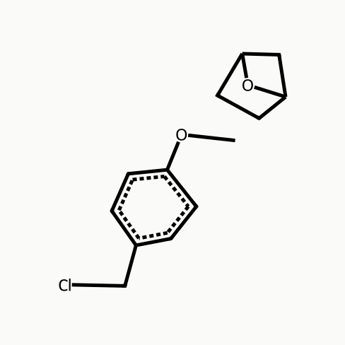 C1CC2CC1O2.COc1ccc(CCl)cc1